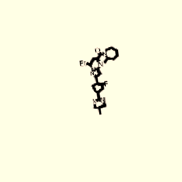 CCc1cc(C(=O)N2CCCCCC2C)nc2cc(-c3ccc(-c4ncc(C)cn4)cc3F)nn12